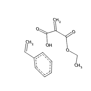 C=C(C(=O)O)C(=O)OCC.C=Cc1ccccc1